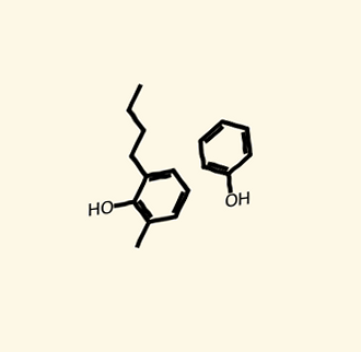 CCCCc1cccc(C)c1O.Oc1ccccc1